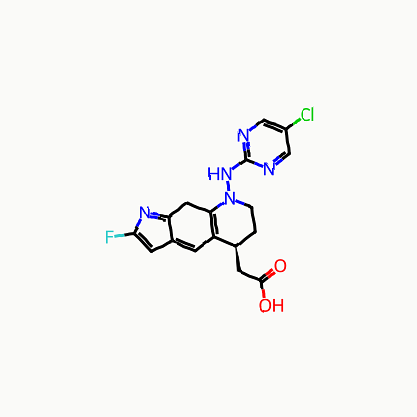 O=C(O)C[C@@H]1CCN(Nc2ncc(Cl)cn2)C2=C1C=C1C=C(F)N=C1C2